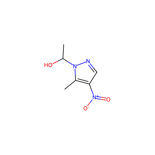 Cc1c([N+](=O)[O-])cnn1C(C)O